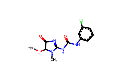 CN1C(NC(=O)Nc2cccc(Cl)c2)=NC(=O)C1OC(C)(C)C